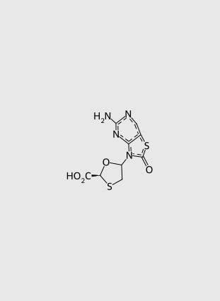 Nc1ncc2sc(=O)n(C3CS[C@@H](C(=O)O)O3)c2n1